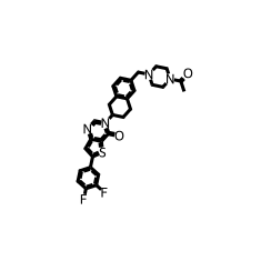 CC(=O)N1CCN(Cc2ccc3c(c2)CCC(n2cnc4cc(-c5ccc(F)c(F)c5)sc4c2=O)C3)CC1